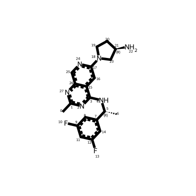 Cc1nc(N[C@H](C)c2cc(F)cc(F)c2)c2cc(N3CC[C@@H](N)C3)ncc2n1